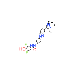 Cn1cc(-c2ccc3cn(C4CCC(CNC(=O)c5cc(F)c(O)c(F)c5)CC4)nc3c2)c(C2CC2)n1